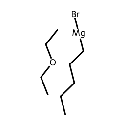 CCCC[CH2][Mg][Br].CCOCC